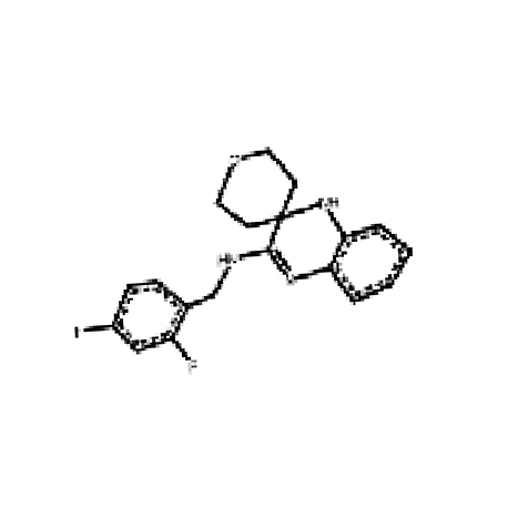 Fc1ccc(CNC2=Nc3ccccc3NC23CCOCC3)c(F)c1